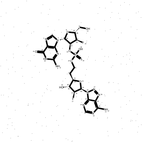 Nc1nc2c(ncn2[C@@H]2O[C@H](CO)[C@@H](F)[C@H]2OP(O)(=S)OCC[C@H]2O[C@@H](n3nnc4c(N)ncnc43)[C@@H](F)[C@@H]2O)c(=O)[nH]1